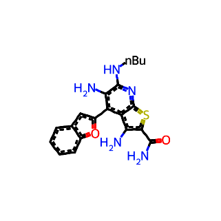 CCCCNc1nc2sc(C(N)=O)c(N)c2c(-c2cc3ccccc3o2)c1N